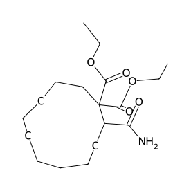 CCOC(=O)C1(C(=O)OCC)CCCCCCCCCC1C(N)=O